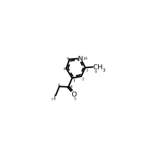 Cc1cc(C(=O)CI)ccn1